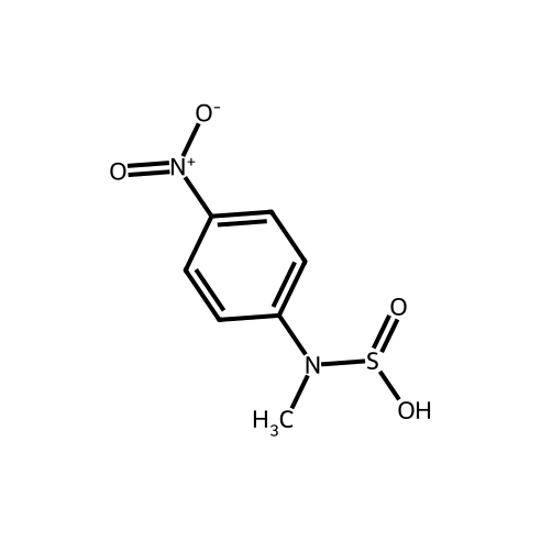 CN(c1ccc([N+](=O)[O-])cc1)S(=O)O